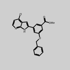 COC(=O)c1cc(OCc2ccccc2)cc(-c2cc3c(Cl)ccnc3[nH]2)c1